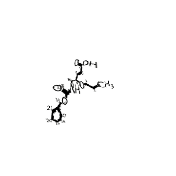 CCCO[C@H](C=CC(=O)O)CNC(=O)OCc1ccccc1